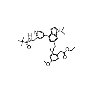 CCOC(=O)Cc1ccc(OC)cc1OCc1cc(-c2ccnc(CN[S@+]([O-])C(C)(C)C)c2)c2ccn(C(C)C)c2c1